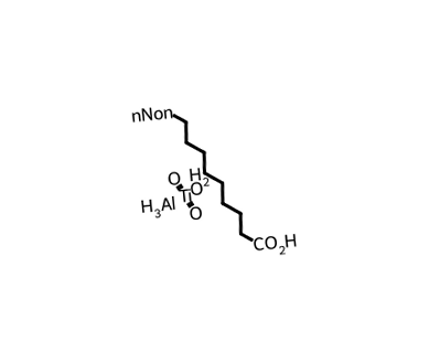 CCCCCCCCCCCCCCCCCC(=O)O.O.[AlH3].[O]=[Ti]=[O]